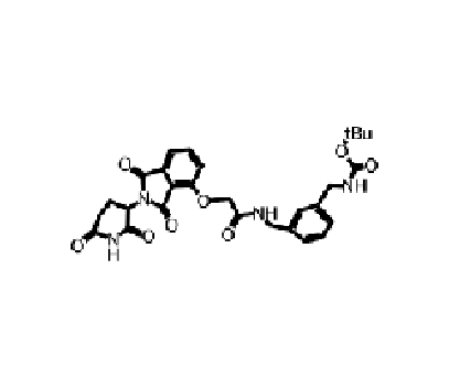 CC(C)(C)OC(=O)NCc1cccc(CNC(=O)COc2cccc3c2C(=O)N(C2CCC(=O)NC2=O)C3=O)c1